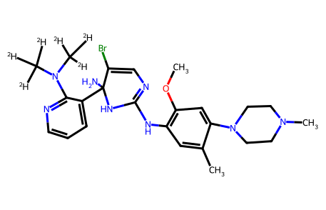 [2H]C([2H])([2H])N(c1ncccc1C1(N)NC(Nc2cc(C)c(N3CCN(C)CC3)cc2OC)=NC=C1Br)C([2H])([2H])[2H]